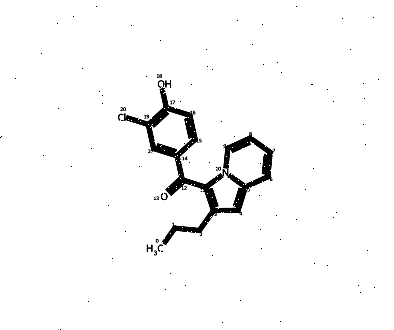 CCCc1cc2ccccn2c1C(=O)c1ccc(O)c(Cl)c1